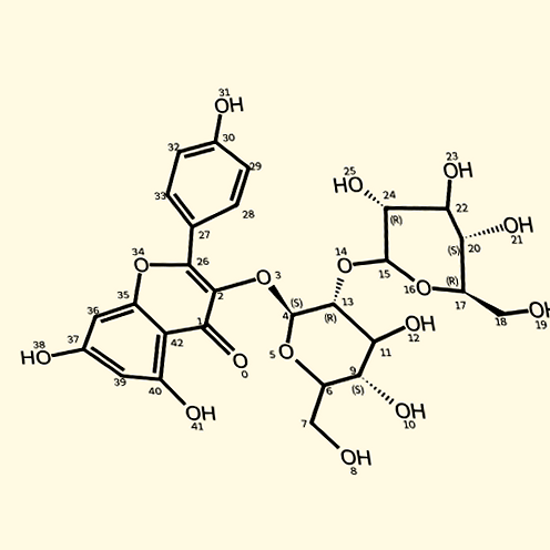 O=c1c(O[C@@H]2OC(CO)[C@@H](O)C(O)[C@H]2OC2O[C@H](CO)[C@@H](O)C(O)[C@H]2O)c(-c2ccc(O)cc2)oc2cc(O)cc(O)c12